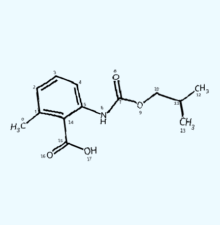 Cc1cccc(NC(=O)OCC(C)C)c1C(=O)O